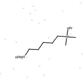 CCCCCCCCCCCC[N+](C)(C)CCC